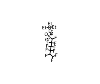 CC[N+](CC)(CC)CC.O=S(=O)([O-])C(F)C(F)(F)C(F)(F)C(F)(F)C(F)C(F)F